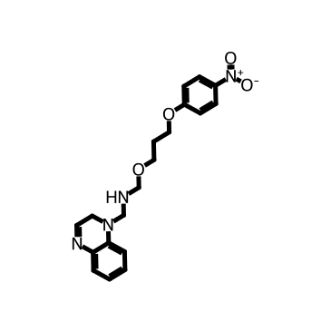 O=[N+]([O-])c1ccc(OCCCOCNCN2CC=Nc3ccccc32)cc1